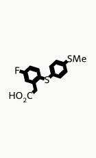 CSc1ccc(Sc2ccc(F)cc2CC(=O)O)cc1